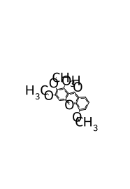 COc1cc2oc3c(OC)cccc3c(=O)c2c(O)c1OC